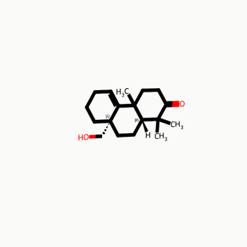 CC1(C)C(=O)CCC2(C)C3=CCCC[C@]3(CO)CC[C@@H]12